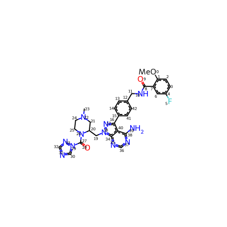 COc1ccc(F)cc1C(=O)NCc1ccc(-c2nn(CC3CN(C)CCN3C(=O)n3cncn3)c3ncnc(N)c23)cc1